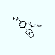 COC(=O)[C@@H]1C2CCC(C[C@@H]1c1ccc(N)cc1)N2C